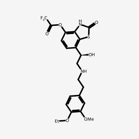 CCOc1ccc(CCNC[C@H](O)c2ccc(OC(=O)C(F)(F)F)c3[nH]c(=O)sc23)cc1OC